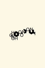 O=C(Oc1ccc([NH+]([O-])O)cc1)N1CC(Oc2ccc(I)cn2)C1